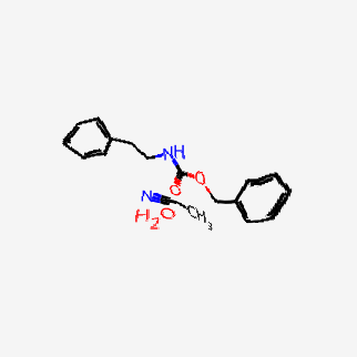 CC#N.O.O=C(NCCc1ccccc1)OCc1ccccc1